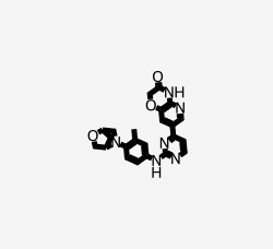 Cc1cc(Nc2nccc(-c3cnc4c(c3)OCC(=O)N4)n2)ccc1N1CC2CC1CO2